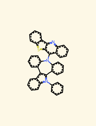 c1ccc(-n2c3c(c4ccccc42)-c2ccccc2N(c2c4ccccc4nc4c2sc2ccccc24)c2ccccc2-3)cc1